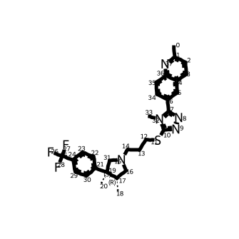 Cc1ccc2cc(-c3nnc(SCCCN4C[C@H](C)[C@@](C)(c5ccc(C(F)(F)F)cc5)C4)n3C)ccc2n1